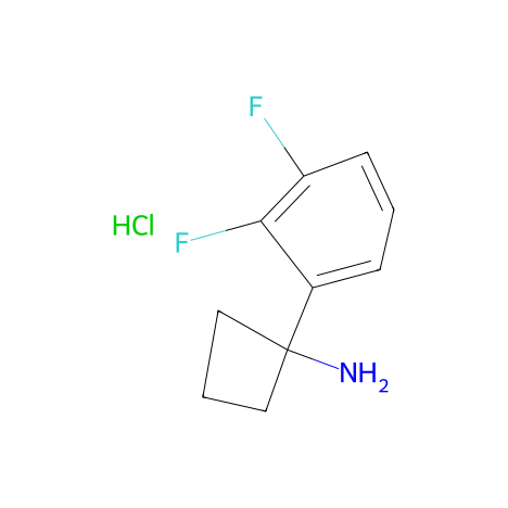 Cl.NC1(c2cccc(F)c2F)CCC1